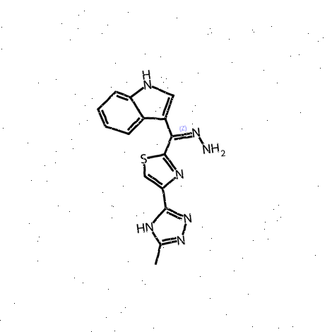 Cc1nnc(-c2csc(/C(=N\N)c3c[nH]c4ccccc34)n2)[nH]1